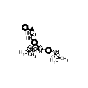 CC(C)OC(=O)N[C@H]1CC[C@H](c2ncc(-c3ccc(NC(=O)NC4(c5ccccc5)CC4)cc3S(=O)(=O)NC(C)(C)C)s2)CC1